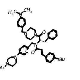 CC(=O)N1CCN(c2ccc(CN(C(=O)C=Cc3ccc(C(C)(C)C)cc3)[C@@H](Cc3ccccc3)C(=O)N3CCN(Cc4ccc(N(C)C)cc4)CC3)cc2)CC1